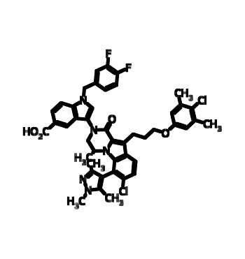 Cc1cc(OCCCc2c3n(c4c(-c5c(C)nn(C)c5C)c(Cl)ccc24)C(C)CN(c2cn(Cc4ccc(F)c(F)c4)c4ccc(C(=O)O)cc24)C3=O)cc(C)c1Cl